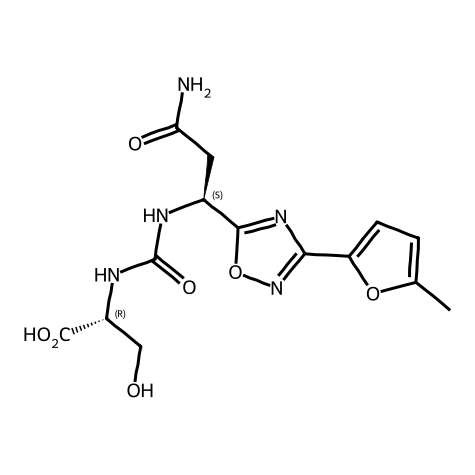 Cc1ccc(-c2noc([C@H](CC(N)=O)NC(=O)N[C@H](CO)C(=O)O)n2)o1